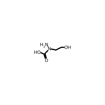 NN(CCO)C(=O)O